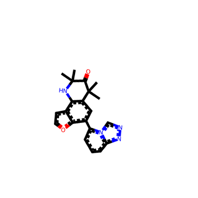 CC1(C)Nc2c(cc(-c3cccc4nncn34)c3occc23)C(C)(C)C1=O